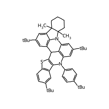 CC(C)(C)c1ccc(N2c3cc(C(C)(C)C)cc4c3C(c3cc(C(C)(C)C)cc5c3N4C3(C)CCCCC53C)c3sc4ccc(C(C)(C)C)cc4c32)cc1